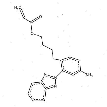 C=CC(=O)OCCCCc1ccc(C)cc1-n1nc2ccccc2n1